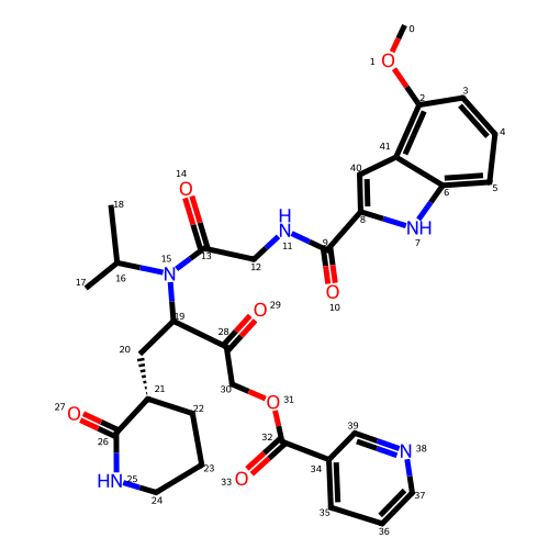 COc1cccc2[nH]c(C(=O)NCC(=O)N(C(C)C)C(C[C@@H]3CCCNC3=O)C(=O)COC(=O)c3cccnc3)cc12